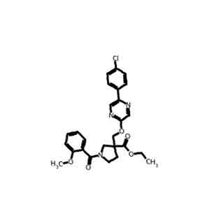 CCOC(=O)C1(COc2cnc(-c3ccc(Cl)cc3)cn2)CCN(C(=O)c2ccccc2OC)C1